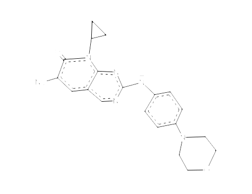 N#Cc1cc2cnc(Nc3ccc(N4CCOCC4)cc3)nc2n(C2CC2)c1=O